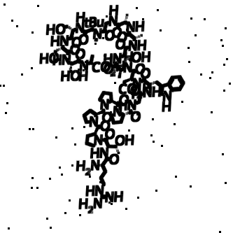 C[C@H](NC(=O)[C@H](CO)NC(=O)[C@H](CO)NC(=O)[C@H](CO)NC(=O)[C@@H](N(C)C(=O)CNC(=O)[C@H](C)NC(=O)[C@H](C)NC(=O)[C@H](CO)NC(=O)[C@H](C)NC(=O)[C@H](CC(=O)O)NC(=O)[C@H](Cc1c[nH]c2ccccc12)NC(=O)CNC(=O)[C@@H]1CCCN1C(=O)[C@@H]1CCCN1C(=O)[C@@H]1CCCN1C(=O)[C@@H]1CCCN1C(=O)[C@@H](NC(=O)[C@@H](N)CCCNC(=N)N)[C@@H](C)O)C(C)(C)C)C(=O)O